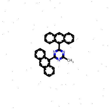 Cc1nc(-c2c3ccccc3cc3ccccc23)nc(-c2c3ccccc3cc3ccccc23)n1